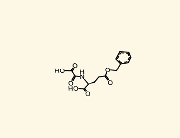 O=C(CC[C@H](NC(=O)C(=O)O)C(=O)O)OCc1ccccc1